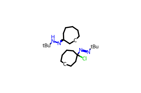 CC(C)(C)/N=N/C1(Cl)CCCCCCC1.CC(C)(C)NN=C1CCCCCCC1